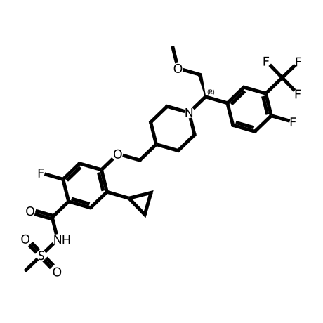 COC[C@@H](c1ccc(F)c(C(F)(F)F)c1)N1CCC(COc2cc(F)c(C(=O)NS(C)(=O)=O)cc2C2CC2)CC1